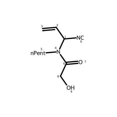 [C-]#[N+]C(C=C)N(CCCCC)C(=O)CO